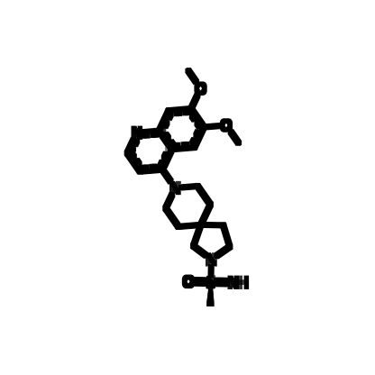 COc1cc2nccc(N3CCC4(CC3)CCN([S@](C)(=N)=O)C4)c2cc1OC